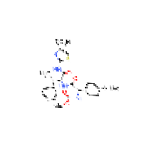 CC(=O)Nc1ccc([C@@H](NC(=O)OC(C)(C)C)C(=O)N[C@H](C(=O)Nc2nc(C(=O)O)cs2)[C@@H](C)c2ccccc2)cc1